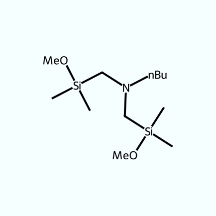 CCCCN(C[Si](C)(C)OC)C[Si](C)(C)OC